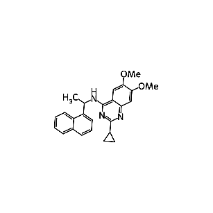 COc1cc2nc(C3CC3)nc(NC(C)c3cccc4ccccc34)c2cc1OC